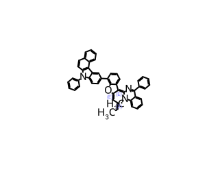 C\C=C/C=c1/oc2c(-c3ccc4c(c3)c3c5ccccc5ccc3n4-c3ccccc3)cccc2/c1=C1\N=C(c2ccccc2)c2ccccc2N1C